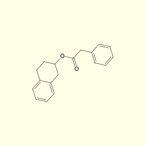 O=C(Cc1ccccc1)OC1CCc2ccccc2C1